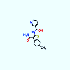 CC1CCc2c(sc(NC(O)c3cccnc3)c2C(N)=O)C1